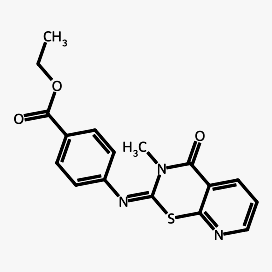 CCOC(=O)c1ccc(N=c2sc3ncccc3c(=O)n2C)cc1